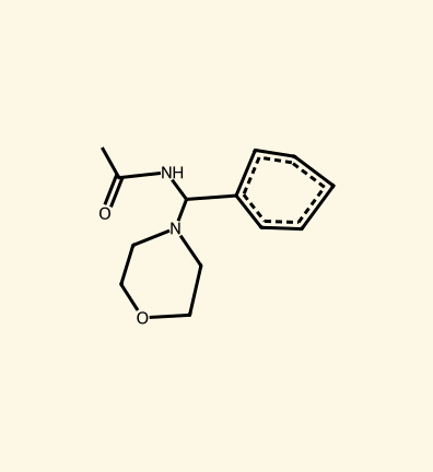 CC(=O)NC(c1ccccc1)N1CCOCC1